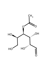 CC(=O)O[C@@H]([C@H](O)[C@@H](O)C=O)[C@H](O)CO